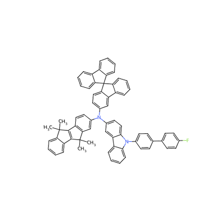 CC1(C)C2=C(c3ccccc31)C(C)(C)c1cc(N(c3ccc4c(c3)-c3ccccc3C43c4ccccc4-c4ccccc43)c3ccc4c(c3)c3ccccc3n4-c3ccc(-c4ccc(F)cc4)cc3)ccc12